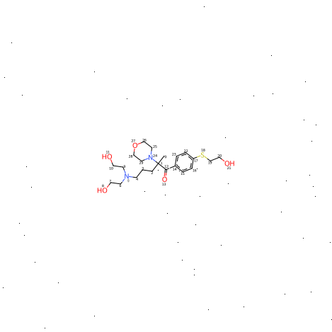 CC(CCCN(CCO)CCO)(C(=O)c1ccc(SCCO)cc1)N1CCOCC1